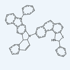 C1=CC2C(c3ccccc31)c1cc3c4ccccc4n(-c4ccccc4)c3cc1N2c1ccc2c(ccc3ccc4c(c32)NC(c2ccccc2)S4)c1